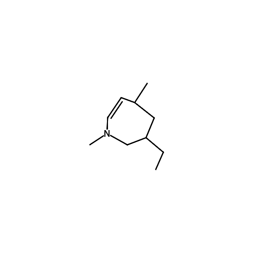 CCC1CC(C)C=CN(C)C1